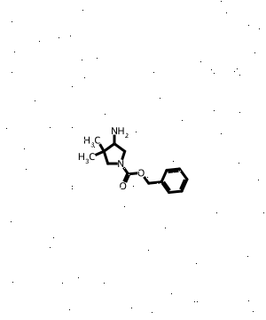 CC1(C)CN(C(=O)OCc2ccccc2)CC1N